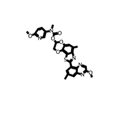 COc1ccc(N(C)C(=O)OC2COc3c(cc(C)c4nc(-c5cc(C)cc6nc(OC)cnc56)sc34)O2)cn1